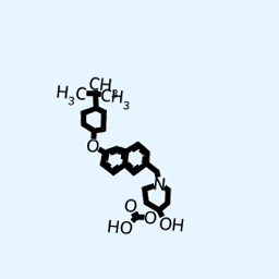 CC(C)(C)C1CCC(Oc2ccc3cc(CN4CCC(O)(OC(=O)O)CC4)ccc3c2)CC1